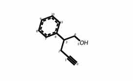 C#CCC(CO)c1ccccc1